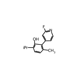 Cc1ccc(C(C)C)c(O)c1-c1ccnc(F)c1